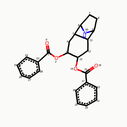 O=C(OC1CC2C3CCC(N3)C2CC1OC(=O)c1ccccc1)c1ccccc1